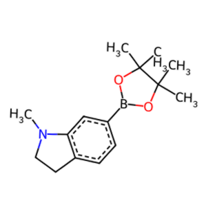 CN1CCc2ccc(B3OC(C)(C)C(C)(C)O3)cc21